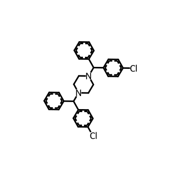 Clc1ccc(C(c2ccccc2)N2CCN(C(c3ccccc3)c3ccc(Cl)cc3)CC2)cc1